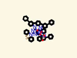 C1=CC(c2ccc3c(c2)c2ccc4c5cc(-c6ccccc6)ccc5n(-c5cccc(C6CC=CC(c7ccccc7)=N6)n5)c4c2n3-c2nc(N3c4ccccc4Sc4ccccc43)nc(N3c4ccccc4Sc4ccccc43)n2)=CCC1